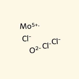 [Cl-].[Cl-].[Cl-].[Mo+5].[O-2]